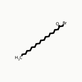 CCCCCCCCCCCCCCCCCC(=O)CBr